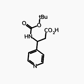 CC(C)(C)OC(=O)NC(CC(=O)O)c1ccncc1